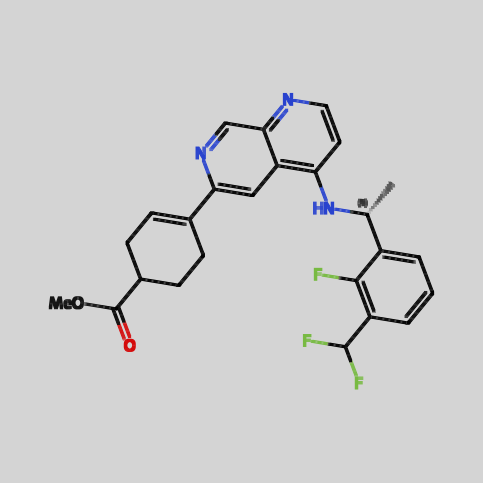 COC(=O)C1CC=C(c2cc3c(N[C@H](C)c4cccc(C(F)F)c4F)ccnc3cn2)CC1